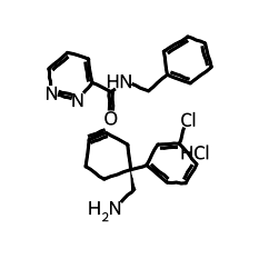 Cl.NC[C@]1(c2cccc(Cl)c2)CC#CCC1.O=C(NCc1ccccc1)c1cccnn1